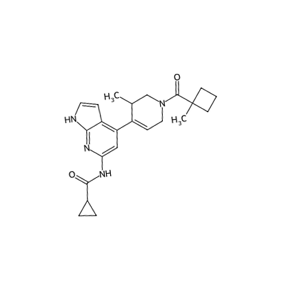 CC1CN(C(=O)C2(C)CCC2)CC=C1c1cc(NC(=O)C2CC2)nc2[nH]ccc12